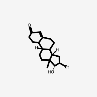 CCC1C[C@H]2C3CCC4=CC(=O)CCC4[C@H]3CCC2(C)[C@H]1O